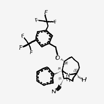 N#C[C@H]1C[C@@H]2CC[C@@H](OCc3cc(C(F)(F)F)cc(C(F)(F)F)c3)[C@@]1(c1ccccc1)N2